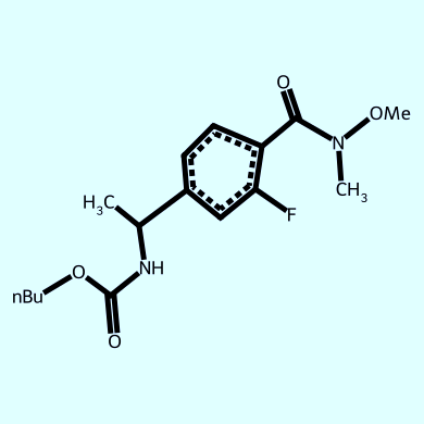 CCCCOC(=O)NC(C)c1ccc(C(=O)N(C)OC)c(F)c1